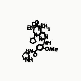 CC[C@@]1(C)CN(C2CCCC2)c2nc(Nc3ccc(C(=O)N[C@@H]4CCCNC4)cc3OC)ncc2N(C)C1=O